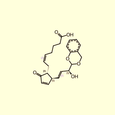 O=C(O)CCC/C=C\C[C@H]1C(=O)C=C[C@@H]1/C=C/[C@H](O)C1OCc2ccccc2O1